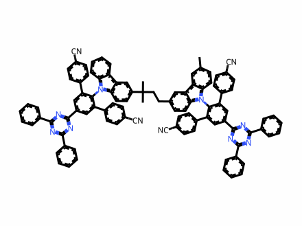 Cc1ccc2c(c1)c1cc(CCC(C)(C)c3ccc4c(c3)c3ccccc3n4-c3c(-c4ccc(C#N)cc4)cc(-c4nc(-c5ccccc5)nc(-c5ccccc5)n4)cc3-c3ccc(C#N)cc3)ccc1n2-c1c(-c2ccc(C#N)cc2)cc(-c2nc(-c3ccccc3)nc(-c3ccccc3)n2)cc1-c1ccc(C#N)cc1